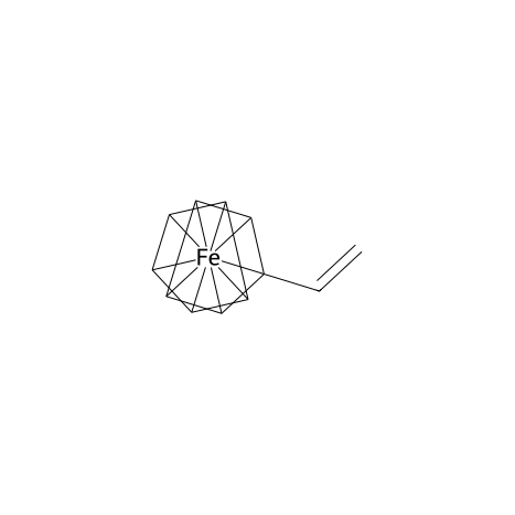 C=C[C]12[CH]3[CH]4[CH]5[CH]1[Fe]45321678[CH]2[CH]1[CH]6[CH]7[CH]28